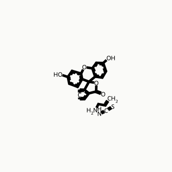 C=CCN.N=C=S.O=C1OC2(c3ccc(O)cc3Oc3cc(O)ccc32)c2ccccc21